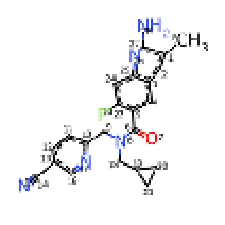 Cc1cc2cc(C(=O)N(Cc3ccc(C#N)cn3)CC3CC3)c(F)cc2nc1N